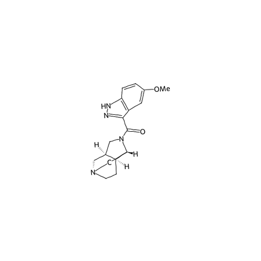 COc1ccc2[nH]nc(C(=O)N3C[C@@H]4C[N@@]5CC[C@@H]4[C@@H]3C5)c2c1